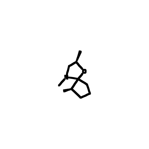 C[C@@H]1CN(C)C2(CCC[C@H]2C)O1